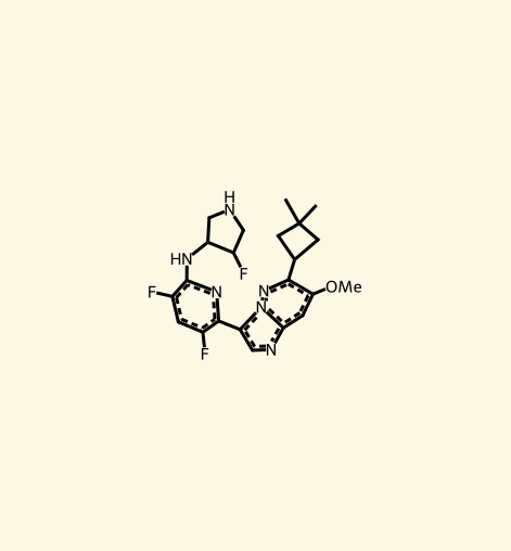 COc1cc2ncc(-c3nc(NC4CNCC4F)c(F)cc3F)n2nc1C1CC(C)(C)C1